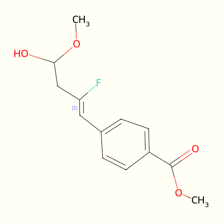 COC(=O)c1ccc(/C=C(\F)CC(O)OC)cc1